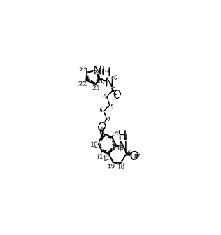 CN(C(=O)CCCCOc1ccc2c(c1)NC(=O)CC2)c1ccc[nH]1